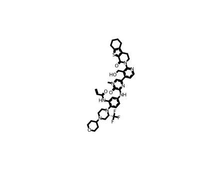 C=CC(=O)Nc1cc(Nc2nc(-c3ccnc(N4CCc5c(sc6c5CCCC6)C4=O)c3CO)cn(C)c2=O)ccc1N1CCN(C2CCOCC2)C[C@H]1C(F)(F)F